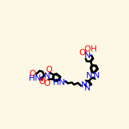 O=C1CCC(N2C(=O)c3ccc(NCCCCCCn4cc(-c5cnc6ccc(C7=CCN(C(=O)O)CC7)cc6n5)cn4)cc3C2=O)C(=O)N1